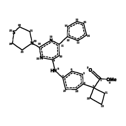 COC(=O)C1(c2ccc(Nc3cc(-c4ccccc4)nc(N4CCSCC4)n3)cc2)CCC1